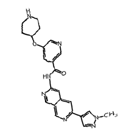 Cn1cc(-c2cc3cc(NC(=O)c4cncc(OC5CCNCC5)c4)ncc3cn2)cn1